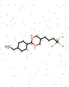 CCC1CCC(C2OCC(CCCC(F)(F)F)CO2)CC1